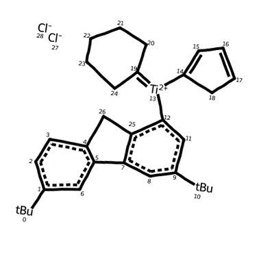 CC(C)(C)c1ccc2c(c1)-c1cc(C(C)(C)C)c[c]([Ti+2]([C]3=CC=CC3)=[C]3CCCCC3)c1C2.[Cl-].[Cl-]